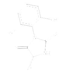 CCC1NC(=S)N(c2c(C)cccc2Cl)C1=O